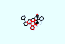 c1ccc(-c2cccc(N(c3ccc4c(c3)C3(c5ccccc5Oc5ccccc53)c3ccccc3-4)c3ccccc3-c3ccccc3-c3ccccc3-c3ccccc3)c2)cc1